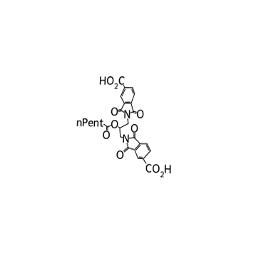 CCCCCC(=O)OC(CN1C(=O)c2ccc(C(=O)O)cc2C1=O)CN1C(=O)c2ccc(C(=O)O)cc2C1=O